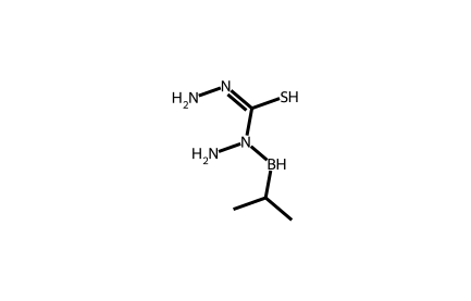 CC(C)BN(N)/C(S)=N\N